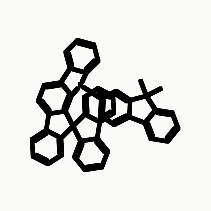 CC1(C)c2ccccc2-c2ccc(-n3c4ccccc4c4ccc5c(c43)C3(c4ccccc4-c4ccccc43)c3ccccc3-5)cc21